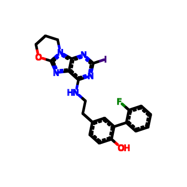 Oc1ccc(CCNc2nc(I)nc3c2nc2n3CCCO2)cc1-c1ccccc1F